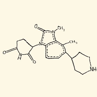 Cc1c(C2CCNCC2)ccc2c1n(C)c(=O)n2C1CCC(=O)NC1=O